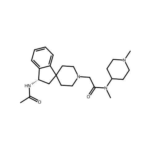 CC(=O)N[C@H]1CC2(CCN(CC(=O)N(C)C3CCN(C)CC3)CC2)c2ccccc21